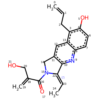 C=CCc1c(O)ccc2nc3c(cc12)CN(C(=O)C(=C)CO)/C3=C\C